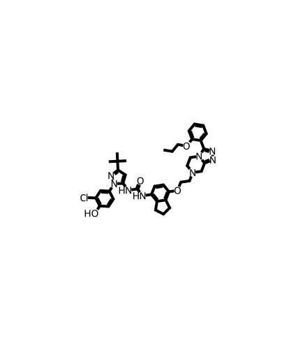 CCCOc1ccccc1-c1nnc2n1CCN(CCOc1ccc(NC(=O)Nc3cc(C(C)(C)C)nn3-c3ccc(O)c(Cl)c3)c3c1CCC3)C2